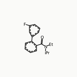 CCN(C(=O)c1ccccc1-c1cccc(F)c1)C(C)C